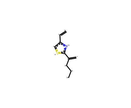 C=Cc1csc(C(=C)CCC)n1